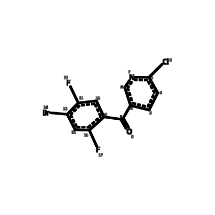 O=C(c1ccc(Cl)nc1)c1cc(F)c(Br)cc1F